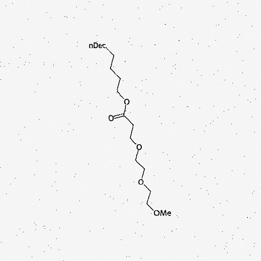 CCCCCCCCCCCCCCOC(=O)CCOCCOCCOC